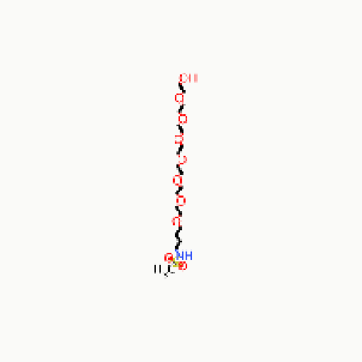 CS(=O)(=O)NCCCCOCCOCCOCCOCCOCCOCCOCCO